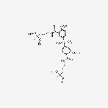 CCO[Si](C)(CCCNC(=O)c1ccc(C(c2ccc(C(=O)O)c(C(=O)NCCC[Si](C)(OCC)OCC)c2)(C(F)(F)F)C(F)(F)F)cc1C(=O)O)OCC